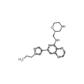 CCCn1cc(-c2cc3nccnc3c(NC[C@@H]3CNCCO3)n2)cn1